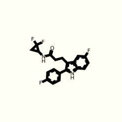 O=C(CCc1c(-c2ccc(F)cc2)[nH]c2ccc(F)cc12)NC1CC1(F)F